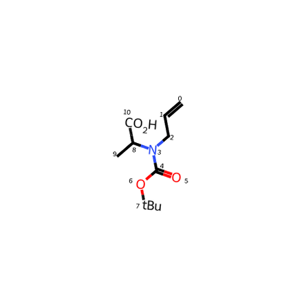 C=CCN(C(=O)OC(C)(C)C)C(C)C(=O)O